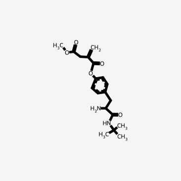 C=C(CC(=O)OC)C(=O)Oc1ccc(CC(N)C(=O)NC(C)(C)C)cc1